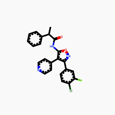 CC(C(=O)Nc1onc(-c2ccc(Cl)c(F)c2)c1-c1ccncc1)c1ccccc1